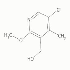 COc1ncc(Cl)c(C)c1CO